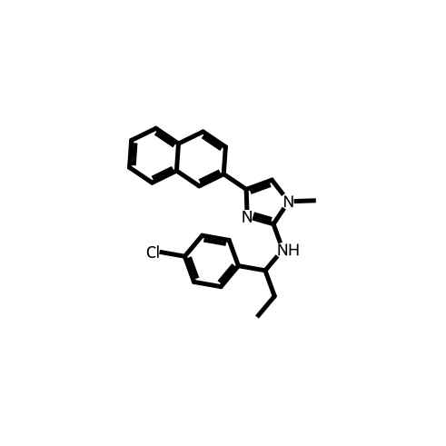 CCC(Nc1nc(-c2ccc3ccccc3c2)cn1C)c1ccc(Cl)cc1